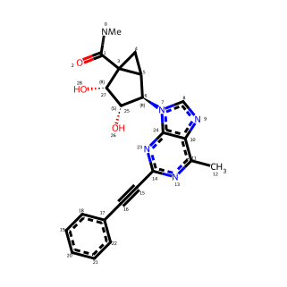 CNC(=O)C12CC1[C@@H](n1cnc3c(C)nc(C#Cc4ccccc4)nc31)[C@H](O)[C@@H]2O